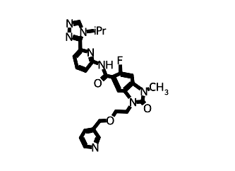 CC(C)n1cnnc1-c1cccc(NC(=O)c2cc3c(cc2F)n(C)c(=O)n3CCOCc2cccnc2)n1